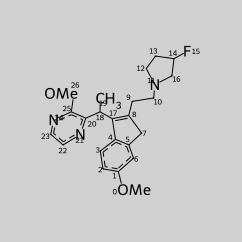 COc1ccc2c(c1)CC(CCN1CCC(F)C1)=C2C(C)c1nccnc1OC